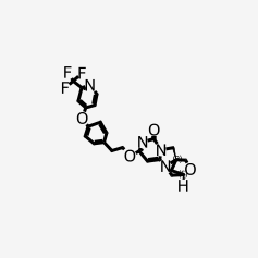 O=c1nc(OCCc2ccc(Oc3ccnc(C(F)(F)F)c3)cc2)cc2n1C[C@]13CO[C@H](CN21)C3